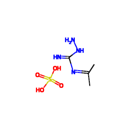 CC(C)=NC(=N)NN.O=S(=O)(O)O